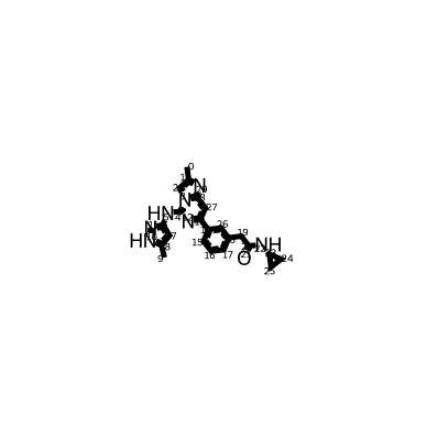 Cc1cn2c(Nc3cc(C)[nH]n3)nc(-c3cccc(CC(=O)NC4CC4)c3)cc2n1